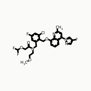 COCCN(Cc1cc(F)cc(Cl)c1COc1cccc2c(-n3cc(F)cn3)cc(C)nc12)C(=O)COC(F)F